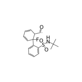 CC(C)(C)NS(=O)(=O)c1ccccc1C1(F)C=CC=CC1[C]=O